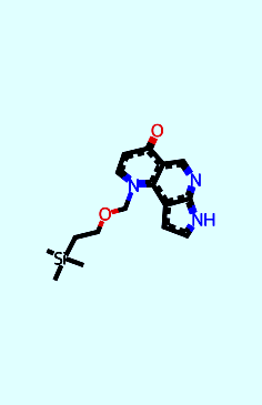 C[Si](C)(C)CCOCn1ccc(=O)c2cnc3[nH]ccc3c21